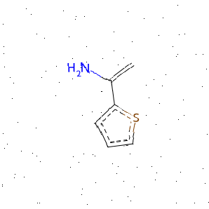 C=C(N)c1cccs1